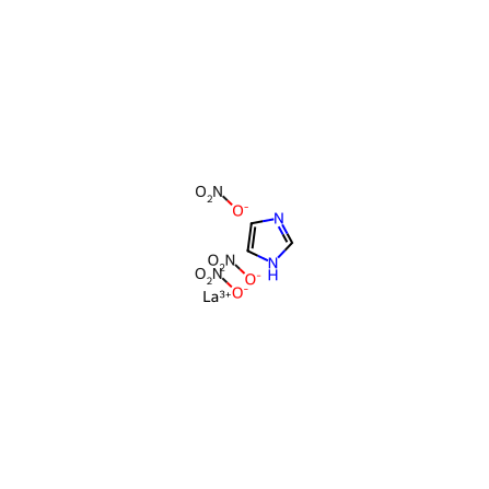 O=[N+]([O-])[O-].O=[N+]([O-])[O-].O=[N+]([O-])[O-].[La+3].c1c[nH]cn1